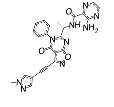 C[C@H](NC(=O)c1nccnc1N)c1nc2onc(C#Cc3cnn(C)c3)c2c(=O)n1-c1ccccc1